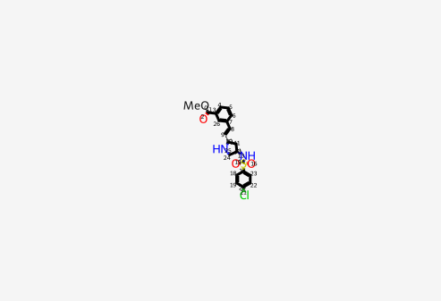 COC(=O)c1cccc(C=C[C@@H]2C[C@@H](NS(=O)(=O)c3ccc(Cl)cc3)CN2)c1